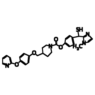 Cn1ccnc1C(S)c1ccc(OC(=O)N2CCC(COc3ccc(Oc4ccccn4)cc3)CC2)cc1